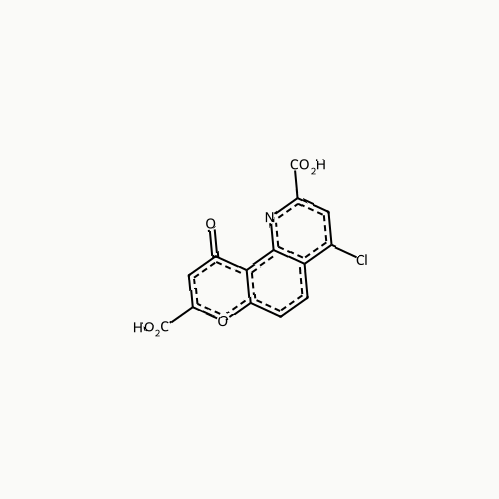 O=C(O)c1cc(Cl)c2ccc3oc(C(=O)O)cc(=O)c3c2n1